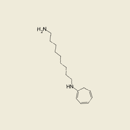 NCCCCCCCCCNC1=CC=CC=CC1